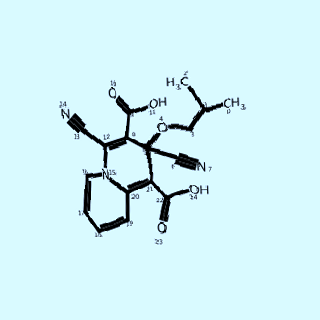 CC(C)COC1(C#N)C(C(=O)O)=C(C#N)N2C=CC=CC2=C1C(=O)O